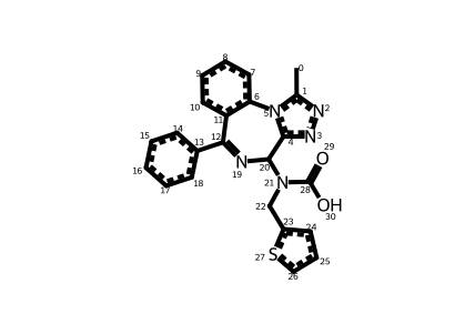 Cc1nnc2n1-c1ccccc1C(c1ccccc1)=NC2N(Cc1cccs1)C(=O)O